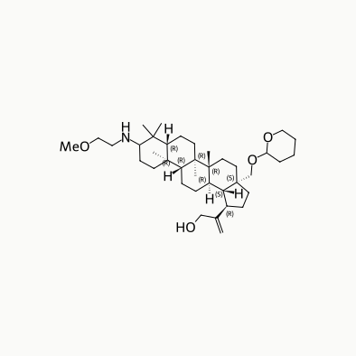 C=C(CO)[C@@H]1CC[C@]2(COC3CCCCO3)CC[C@]3(C)[C@H](CC[C@@H]4[C@@]5(C)CCC(NCCOC)C(C)(C)[C@@H]5CC[C@]43C)[C@@H]12